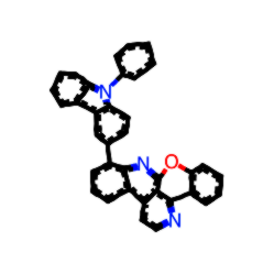 c1ccc(-n2c3ccccc3c3cc(-c4cccc5c4nc4c6c(nccc65)-c5ccccc5O4)ccc32)cc1